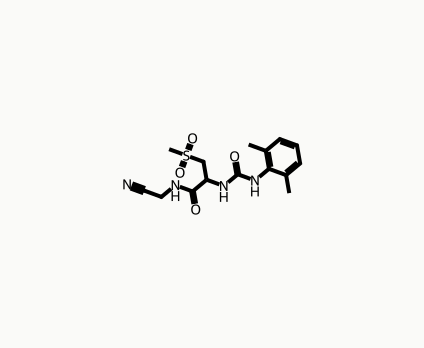 Cc1cccc(C)c1NC(=O)NC(CS(C)(=O)=O)C(=O)NCC#N